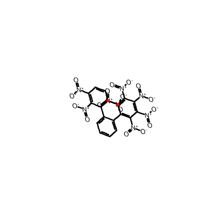 O=[N+]([O-])c1ccc([N+](=O)[O-])c([N+](=O)[O-])c1-c1ccccc1-c1c([N+](=O)[O-])c([N+](=O)[O-])c([N+](=O)[O-])c([N+](=O)[O-])c1[N+](=O)[O-]